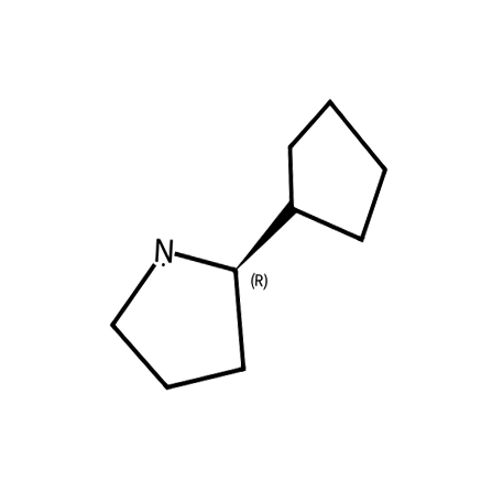 C1CCC([C@H]2CCC[N]2)C1